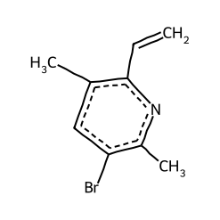 C=Cc1nc(C)c(Br)cc1C